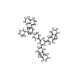 c1ccc(-c2nc(-c3ccc(-c4cc(-c5ccc6oc7ccccc7c6c5)cc(-c5ccc6oc7ccccc7c6c5)c4)cc3)cc(-c3cccc4ccccc34)n2)cc1